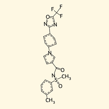 Cc1cccc(S(C)(=O)=NC(=O)c2ccn(-c3ccc(-c4noc(C(F)(F)F)n4)cc3)c2)c1